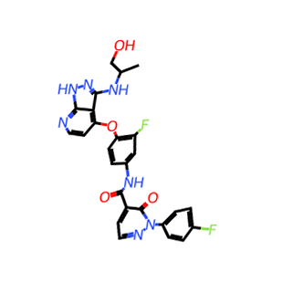 CC(CO)Nc1n[nH]c2nccc(Oc3ccc(NC(=O)c4ccnn(-c5ccc(F)cc5)c4=O)cc3F)c12